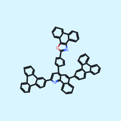 c1ccc2c(c1)c(-c1ccc3c4ccccc4c4ccccc4c3c1)cc1c(-c3ccc(-c4nc5c6ccccc6c6ccccc6c5o4)cc3)cc(-c3ccc4c5ccccc5c5ccccc5c4c3)nc12